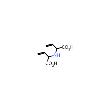 C=CC(NC(C=C)C(=O)O)C(=O)O